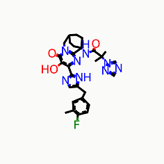 Cc1cc(Cc2cnc(-c3nc4n(c(=O)c3O)CC3CCC4(NC(=O)C(C)(C)n4cncn4)CC3)[nH]2)ccc1F